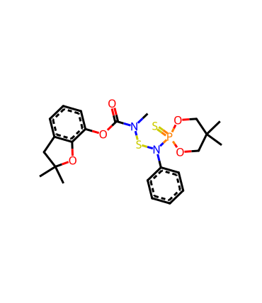 CN(SN(c1ccccc1)P1(=S)OCC(C)(C)CO1)C(=O)Oc1cccc2c1OC(C)(C)C2